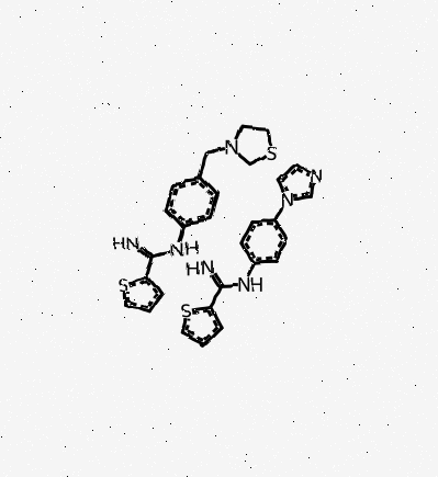 N=C(Nc1ccc(-n2ccnc2)cc1)c1cccs1.N=C(Nc1ccc(CN2CCSC2)cc1)c1cccs1